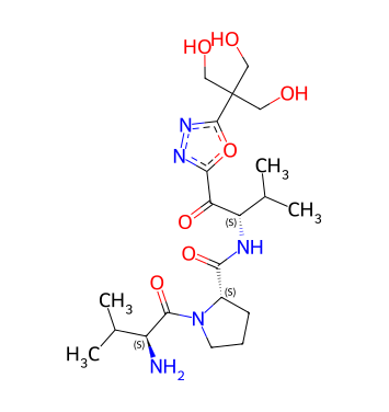 CC(C)[C@H](N)C(=O)N1CCC[C@H]1C(=O)N[C@H](C(=O)c1nnc(C(CO)(CO)CO)o1)C(C)C